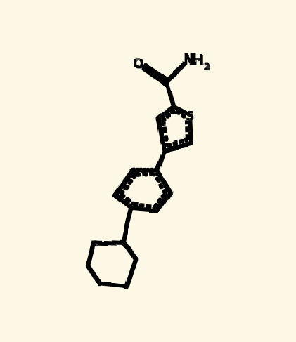 NC(=O)c1cc(-c2ccc(C3CCCCC3)cc2)cs1